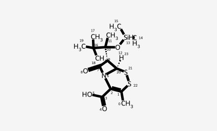 CC1=C(C(=O)O)N2C(=O)[C@H](C(C)(O[SiH](C)C)C(C)(C)C)[C@H]2SS1